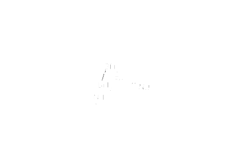 BB.[Fe].[Fe].[Nd].[Nd]